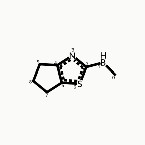 CBc1nc2c(s1)CCC2